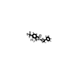 Nc1cc(C(F)(F)F)ccc1C(=O)Nc1nc(-c2ccccc2)cs1